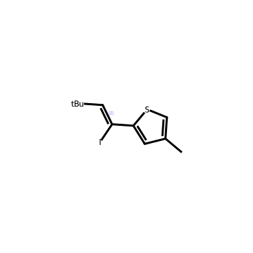 Cc1csc(/C(I)=C/C(C)(C)C)c1